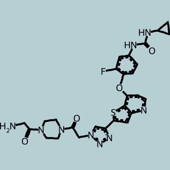 NCC(=O)N1CCN(C(=O)Cn2cc(-c3cc4nccc(Oc5ccc(NC(=O)NC6CC6)cc5F)c4s3)nn2)CC1